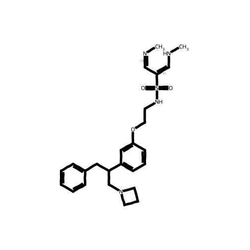 C/N=C\C(=C/NC)S(=O)(=O)NCCOc1cccc(C(Cc2ccccc2)CN2CCC2)c1